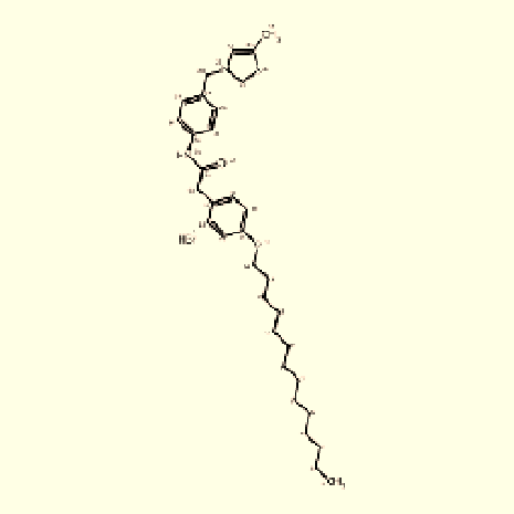 Br.CCCCCCCCCCCCCCOc1ccc(CC(=O)Nc2ccc(CN3C=C(C)SC3)cc2)cc1